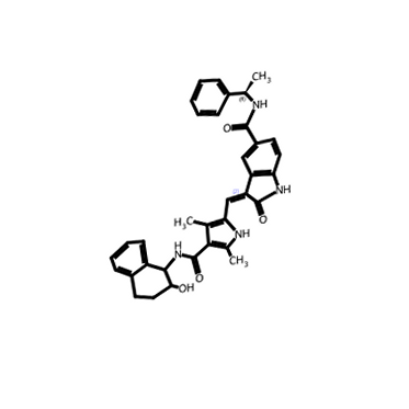 Cc1[nH]c(/C=C2\C(=O)Nc3ccc(C(=O)N[C@H](C)c4ccccc4)cc32)c(C)c1C(=O)NC1c2ccccc2CCC1O